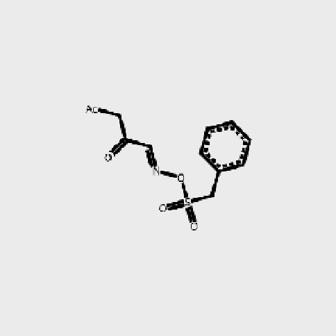 CC(=O)CC(=O)C=NOS(=O)(=O)Cc1ccccc1